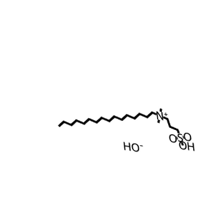 CCCCCCCCCCCCCCCC[N+](C)(C)CCCS(=O)(=O)O.[OH-]